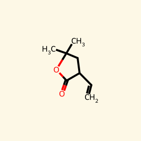 C=CC1CC(C)(C)OC1=O